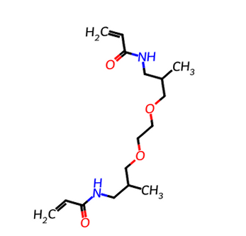 C=CC(=O)NCC(C)COCCOCC(C)CNC(=O)C=C